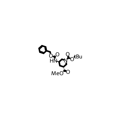 COC(=O)[C@@H]1C[C@@H](NC(=O)OCc2ccccc2)CN(C(=O)OC(C)(C)C)C1